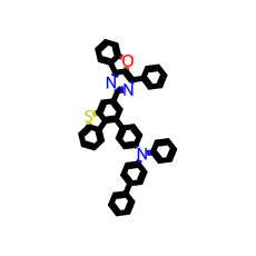 c1ccc(-c2ccc(N(c3ccccc3)c3ccc(-c4cc(-c5nc(-c6ccccc6)c6oc7ccccc7c6n5)cc5sc6ccccc6c45)cc3)cc2)cc1